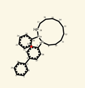 c1ccc(-c2ccc(P3CCCCCCCCCPP3c3ccccc3)cc2)cc1